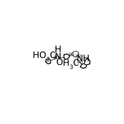 C[C@@H](N[C@H]1CCC[C@H](c2ccc(C(=O)N[C@@H](Cc3ccccc3)C(=O)O)cc2)C1)c1cccc2ccccc12